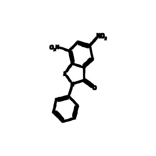 O=c1c2cc([N+](=O)[O-])cc([N+](=O)[O-])c2sn1-c1ccccc1